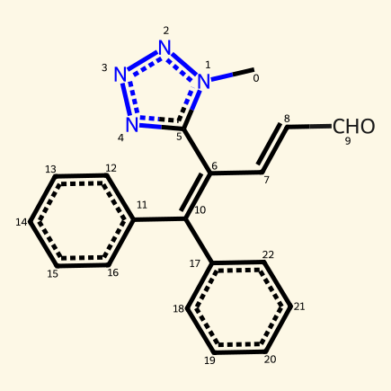 Cn1nnnc1C(/C=C/C=O)=C(c1ccccc1)c1ccccc1